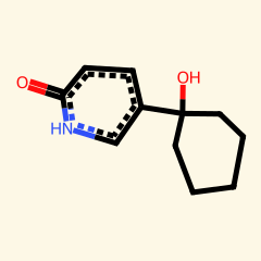 O=c1ccc(C2(O)CCCCC2)c[nH]1